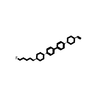 C=C[C@H]1CC[C@H](c2ccc(-c3ccc([C@H]4CC[C@H](CCCCCF)CC4)cc3)cc2)CC1